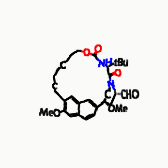 COc1cc2ccc3cc2cc1CCCCCCCOC(=O)N[C@@H](C(C)(C)C)C(=O)N1C[C@@]3(OC)C[C@H]1C=O